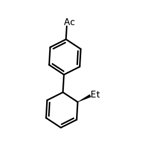 CC[C@H]1C=CC=CC1c1ccc(C(C)=O)cc1